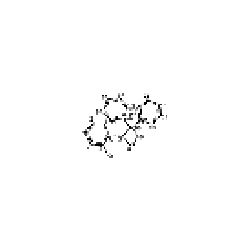 Cc1ccccc1[C@H]1[CH]CC1(c1ccccc1)c1ccccc1